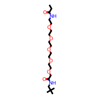 CCC(=O)NCCOCCOCCOCCOCCOCC(=O)NCC(C)(C)C